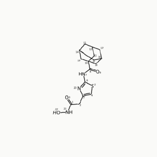 O=C(Cc1csc(NC(=O)C23CC4CC(CC(C4)C2)C3)n1)NO